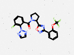 O=C(c1cccc(F)c1-n1nccn1)N1CCCC1c1nc(-c2ccccc2OC(F)(F)F)no1